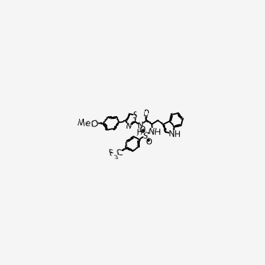 COc1ccc(-c2csc(NC(=O)C(Cc3c[nH]c4ccccc34)NS(=O)(=O)c3ccc(C(F)(F)F)cc3)n2)cc1